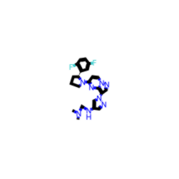 CN(C)CNc1cnn(-c2cnn3ccc(N4CCC[C@@H]4c4cc(F)ccc4F)nc23)c1